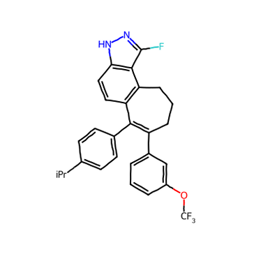 CC(C)c1ccc(C2=C(c3cccc(OC(F)(F)F)c3)CCCc3c2ccc2[nH]nc(F)c32)cc1